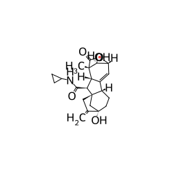 C=C1C[C@]23C[C@@]1(O)CC[C@H]2C1=C[C@H]2OC(=O)[C@@](C)([C@H]1[C@@H]3C(=O)NC1CC1)[C@H]2O